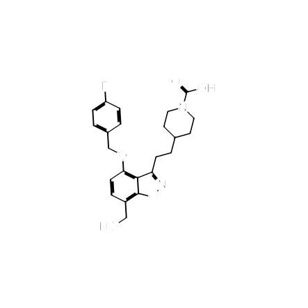 O=C(O)N1CCC(CCc2noc3c(CO)ccc(OCc4ccc(F)cc4)c23)CC1